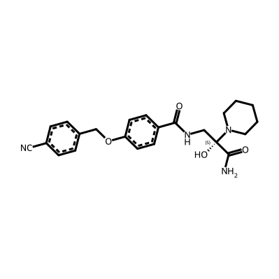 N#Cc1ccc(COc2ccc(C(=O)NC[C@](O)(C(N)=O)N3CCCCC3)cc2)cc1